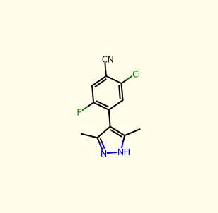 Cc1n[nH]c(C)c1-c1cc(Cl)c(C#N)cc1F